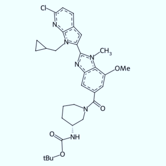 COc1cc(C(=O)N2CCC[C@@H](NC(=O)OC(C)(C)C)C2)cc2nc(-c3cc4ccc(Cl)nc4n3CC3CC3)n(C)c12